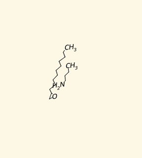 CCCCCCCCCCC1CO1.CCCCN